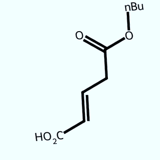 CCCCOC(=O)CC=CC(=O)O